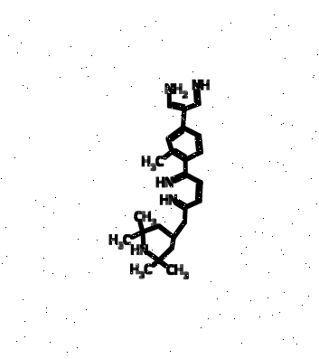 Cc1cc(/C(C=N)=C/N)ccc1C(=N)/C=C\C(=N)CC1CC(C)(C)NC(C)(C)C1